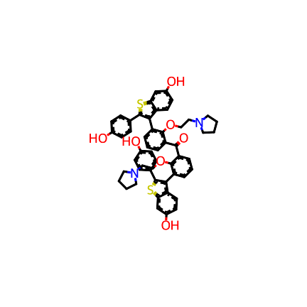 O=C(c1cccc(-c2c(-c3ccc(O)cc3)sc3cc(O)ccc23)c1OCCN1CCCC1)c1cccc(-c2c(-c3ccc(O)cc3)sc3cc(O)ccc23)c1OCCN1CCCC1